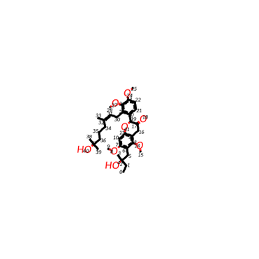 CCC(C)(O)Cc1c(OC)cc2c(c1OC)CC(=O)C(c1ccc(OC)c(OC)c1CC=C(C)CCCC(C)(C)O)O2